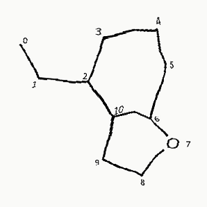 CCC1CCCC2OCCC12